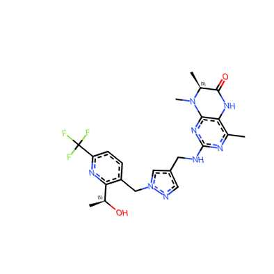 Cc1nc(NCc2cnn(Cc3ccc(C(F)(F)F)nc3[C@H](C)O)c2)nc2c1NC(=O)[C@H](C)N2C